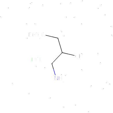 CCOC(=O)CC(CN)C(F)(F)F.Cl